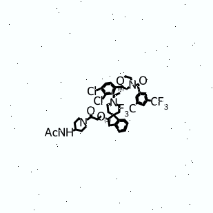 CC(=O)NC1CCN(C(=O)CO[C@H]2Cc3ccccc3C23CCN(CC[C@@]2(c4ccc(Cl)c(Cl)c4)CN(C(=O)c4cc(C(F)(F)F)cc(C(F)(F)F)c4)CCO2)CC3)CC1